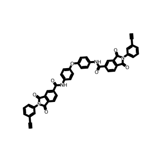 C#Cc1cccc(N2C(=O)c3ccc(C(=O)Nc4ccc(Oc5ccc(NC(=O)c6ccc7c(c6)C(=O)N(c6cccc(C#C)c6)C7=O)cc5)cc4)cc3C2=O)c1